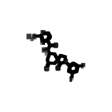 Cc1nccc(C(=O)N[C@@H]2CC(=O)CC3(CCN(c4cc(F)cc(F)c4)C3=O)C2)n1